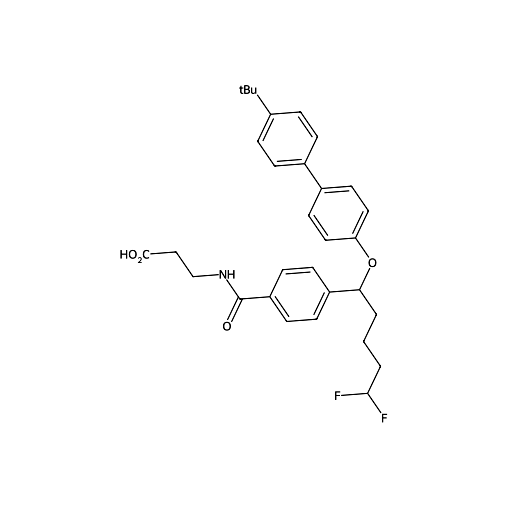 CC(C)(C)c1ccc(-c2ccc(OC(CCCC(F)F)c3ccc(C(=O)NCCC(=O)O)cc3)cc2)cc1